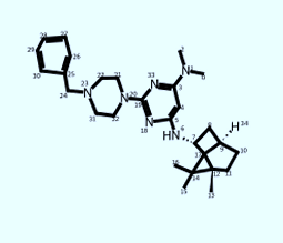 CN(C)c1cc(N[C@@H]2C[C@H]3CC[C@]4(C)C(C)(C)C324)nc(N2CCN(Cc3ccccc3)CC2)n1